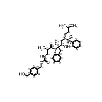 CC(C)CCN(C[C@@H](O)[C@@](C)(Cc1ccccc1)NC(=O)[C@H](C)CNC(=O)OCc1ccc(CO)cc1)S(=O)(=O)c1ccccc1